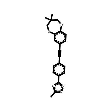 Cc1nnc(-c2ccc(C#Cc3ccc4c(c3)OCC(C)(C)CO4)cc2)o1